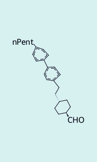 CCCCCc1ccc(-c2ccc(CC[C@H]3CC[C@H](C=O)CC3)cc2)cc1